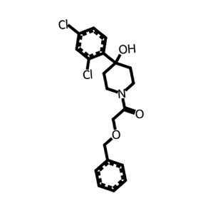 O=C(COCc1ccccc1)N1CCC(O)(c2ccc(Cl)cc2Cl)CC1